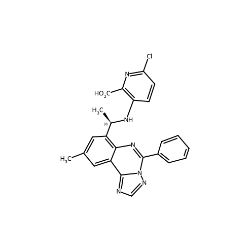 Cc1cc([C@@H](C)Nc2ccc(Cl)nc2C(=O)O)c2nc(-c3ccccc3)n3ncnc3c2c1